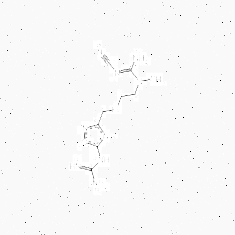 CN(CCSCc1noc(NC(=N)N)n1)C(N)=NC#N